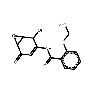 CC(=O)OCOc1ccccc1C(=O)NC1=CC(=O)C2OC2C1O